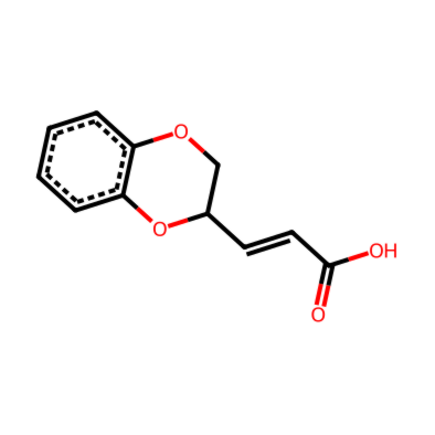 O=C(O)/C=C/C1COc2ccccc2O1